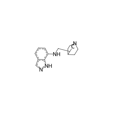 c1cc(NCC2CN3CCC2CC3)c2[nH]ncc2c1